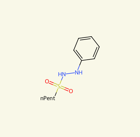 CCCCCS(=O)(=O)NNc1ccccc1